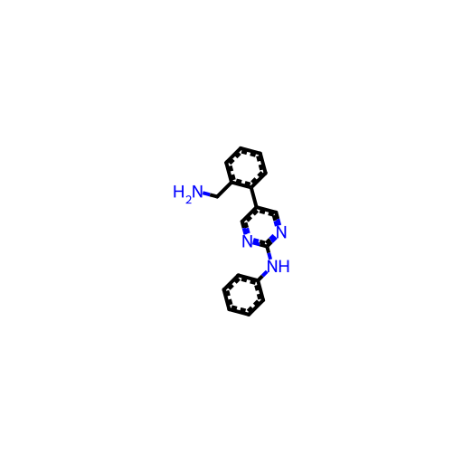 NCc1ccccc1-c1cnc(Nc2ccccc2)nc1